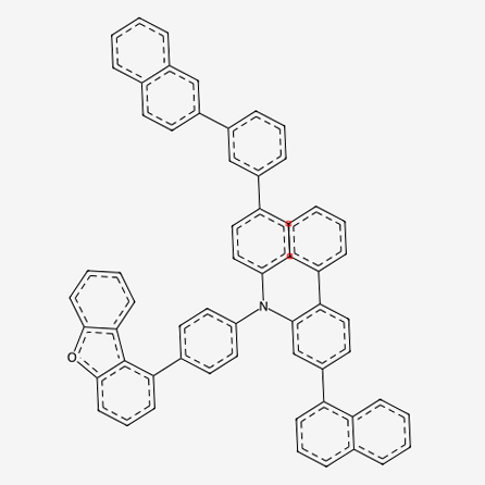 c1ccc(-c2ccc(-c3cccc4ccccc34)cc2N(c2ccc(-c3cccc(-c4ccc5ccccc5c4)c3)cc2)c2ccc(-c3cccc4oc5ccccc5c34)cc2)cc1